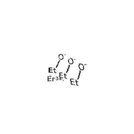 CC[O-].CC[O-].CC[O-].[Er+3]